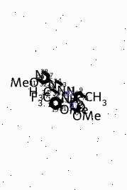 COC(=O)/C=C\c1sc(C)cc1/N=C(\Nc1cc(C(F)(F)F)ccc1OC)N1CCN(c2ccnc(OC)c2)[C@H](C)C1